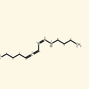 CCCCC=C=C/N=N\NCCCC